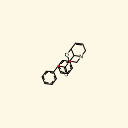 O=C(Cc1ccccc1)N1CN2CC=CC(O1)C2c1ccccc1